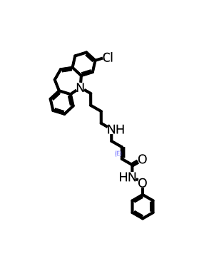 O=C(/C=C/CNCCCCN1C2=CC(Cl)=CCC2=CCc2ccccc21)NOc1ccccc1